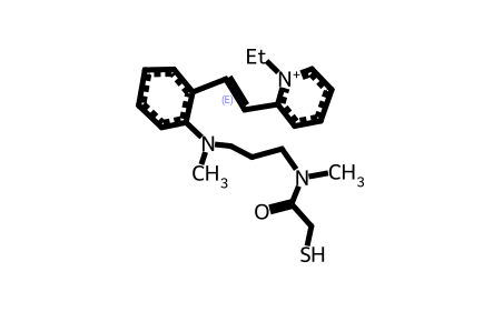 CC[n+]1ccccc1/C=C/c1ccccc1N(C)CCCN(C)C(=O)CS